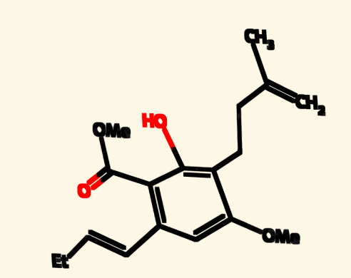 C=C(C)CCc1c(OC)cc(/C=C/CC)c(C(=O)OC)c1O